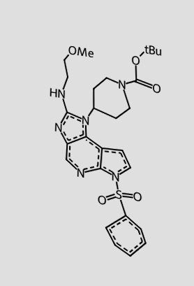 COCCNc1nc2cnc3c(ccn3S(=O)(=O)c3ccccc3)c2n1C1CCN(C(=O)OC(C)(C)C)CC1